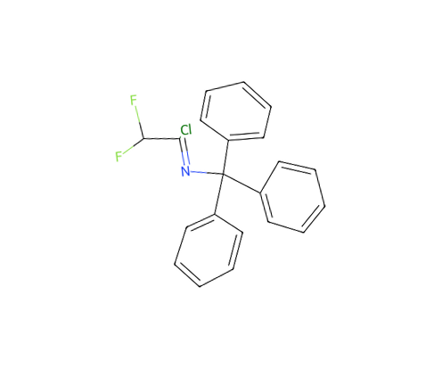 FC(F)C(Cl)=NC(c1ccccc1)(c1ccccc1)c1ccccc1